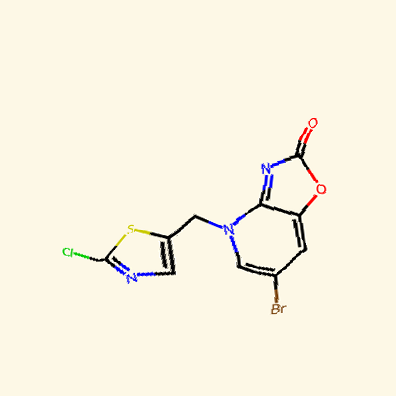 O=c1nc2n(Cc3cnc(Cl)s3)cc(Br)cc-2o1